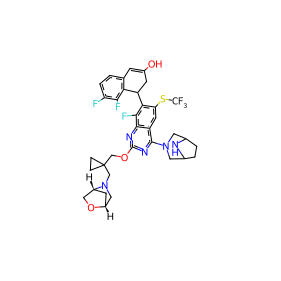 OC1=Cc2ccc(F)c(F)c2C(c2c(SC(F)(F)F)cc3c(N4CC5CCC(C4)N5)nc(OCC4(CN5C[C@H]6C[C@@H]5CO6)CC4)nc3c2F)C1